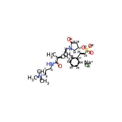 C=C(C)C(=O)NCCC[N+](C)(C)C.C=CN1CCCC1=O.O=S(=O)([O-])C=Cc1ccccc1.[Cl-].[Na+]